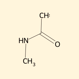 [CH]C(=O)NC